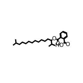 CC(C)CCCCCCCCCCC(OC(=O)c1ccccc1C(=O)O)C(C)C